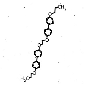 C=CCOc1ccc(-c2ccc(OCCOc3ccc(-c4ccc(OCC=C)cc4)cc3)cc2)cc1